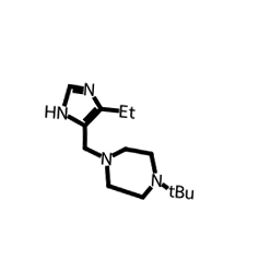 CCc1nc[nH]c1CN1CCN(C(C)(C)C)CC1